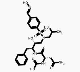 CC(C)CN(C[C@@H](O)[C@H](Cc1ccccc1)NC(=O)[C@H](CC(N)=O)NC(=O)O)S(=O)(=O)c1ccc(C=NO)cc1